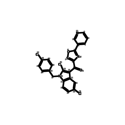 O=C(c1noc(-c2cccnc2)n1)c1c(Cl)n(Cc2ccc(Cl)cc2)c2ccc(Cl)cc12